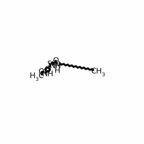 CCCCCCCCCCCCCCCCCCNC(=O)[C@@H]1CSC(c2ccc(NC(C)=O)cc2)N1